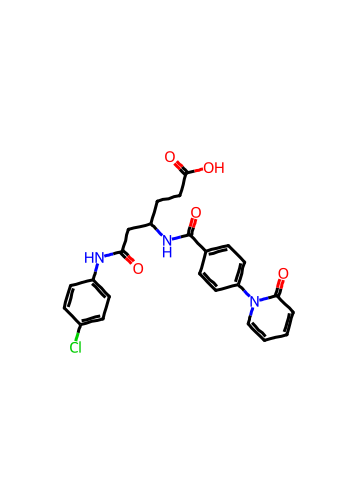 O=C(O)CCC(CC(=O)Nc1ccc(Cl)cc1)NC(=O)c1ccc(-n2ccccc2=O)cc1